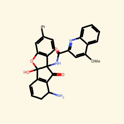 COc1cc(C(=O)NC23C(=O)C4=C(C=CCC4N)C2(O)Oc2cc(C(C)C)ccc23)nc2ccccc12